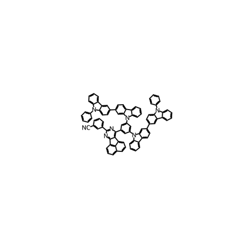 N#Cc1cccc(-c2nc(-c3cc(-n4c5ccccc5c5ccc(-c6ccc7c(c6)c6ccccc6n7-c6ccccc6)cc54)cc(-n4c5ccccc5c5ccc(-c6ccc7c(c6)c6ccccc6n7-c6ccccc6)cc54)c3)c3c(n2)-c2cccc4cccc-3c24)c1